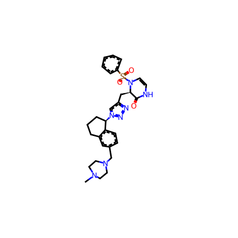 CN1CCN(Cc2ccc3c(c2)CCC[C@H]3n2cc(C[C@@H]3C(=O)NC=CN3S(=O)(=O)c3ccccc3)nn2)CC1